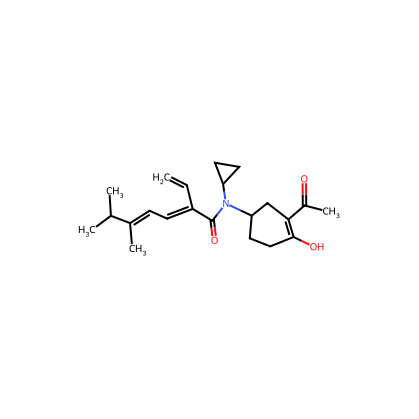 C=C/C(=C\C=C(/C)C(C)C)C(=O)N(C1CC1)C1CCC(O)=C(C(C)=O)C1